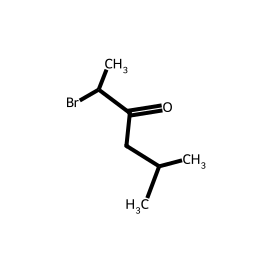 CC(C)CC(=O)C(C)Br